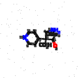 COC(=O)C(CN)(C(=O)O)c1ccncc1